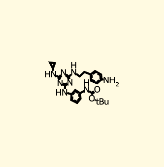 CC(C)(C)OC(=O)Nc1cccc(Nc2nc(NCCc3ccc(N)cc3)nc(NC3CC3)n2)c1